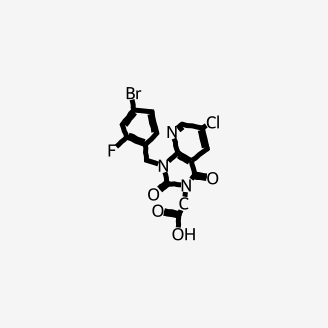 O=C(O)Cn1c(=O)c2cc(Cl)cnc2n(Cc2ccc(Br)cc2F)c1=O